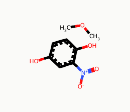 COC.O=[N+]([O-])c1cc(O)ccc1O